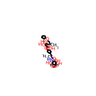 C/C(=C/COc1ccccc1F)[C@H]1O[C@@H](Oc2ccc(/C=C(\C)C(=O)N[C@@H]3[C@H](O)[C@@H](O)[C@H]4OCO[C@H]4[C@@H]3O)cc2O)[C@@H](O)[C@@H]1O